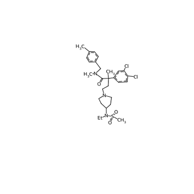 CCN(C1CCN(CCC(C)(C(=O)N(C)Cc2ccc(C)cc2)c2ccc(Cl)c(Cl)c2)CC1)S(C)(=O)=O